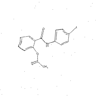 CC(=O)Oc1ccccc1C(=O)Nc1ccc(I)cc1